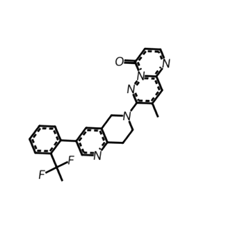 Cc1cc2nccc(=O)n2nc1N1CCc2ncc(-c3ccccc3C(C)(F)F)cc2C1